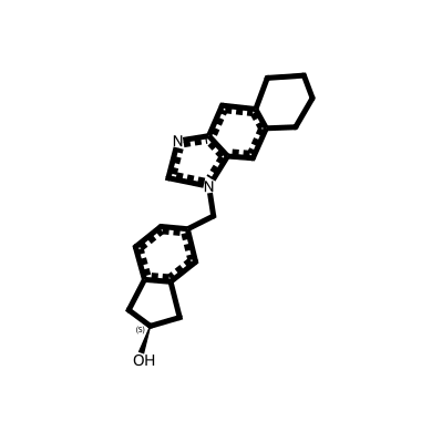 O[C@H]1Cc2ccc(Cn3cnc4cc5c(cc43)CCCC5)cc2C1